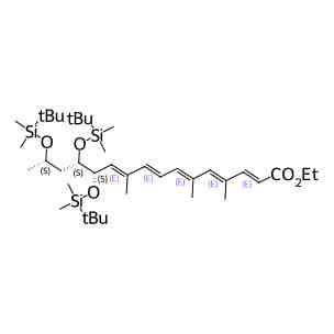 CCOC(=O)/C=C/C(C)=C/C(C)=C/C=C/C(C)=C/[C@H](O[Si](C)(C)C(C)(C)C)[C@H](C[C@H](C)O[Si](C)(C)C(C)(C)C)O[Si](C)(C)C(C)(C)C